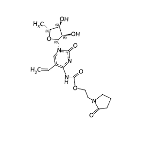 C=Cc1cn([C@@H]2O[C@H](C)[C@@H](O)[C@H]2O)c(=O)nc1NC(=O)OCCN1CCCC1=O